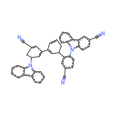 N#CC1=CC(C2=CC(c3cc(C#N)ccc3-n3c4ccccc4c4cc(C#N)ccc43)CC=C2)=CC(n2c3ccccc3c3ccccc32)C1